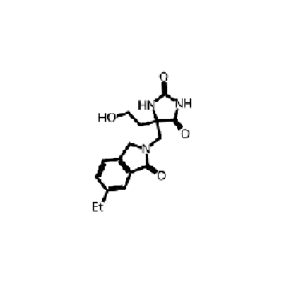 CCc1ccc2c(c1)C(=O)N(CC1(CCO)NC(=O)NC1=O)C2